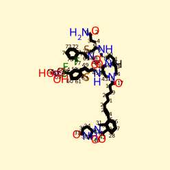 NC(=O)CC[C@H](NC(=O)[C@@H]1CC[C@@H]2CCN(C(=O)CCCCCC#Cc3cccc4c3CN(C3CCC(=O)NC3=O)C4=O)C[C@H](NC(=O)c3cc4cc(C(F)(F)OP(O)O)ccc4s3)C(=O)N21)c1ncc(-c2ccccc2F)s1